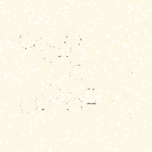 N#Cc1cc(C#N)cc(-c2cccc(-c3ccc(-n4c5ccccc5c5c6oc7ccccc7c6ccc54)cc3-n3c4ccccc4c4c5oc6ccccc6c5ccc43)c2)c1